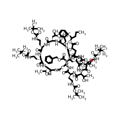 CCCC(C)OC(=O)CCC(=O)N[C@@H](CCNC(=O)OCc1ccccc1)C(=O)N[C@@H](CCNC(=O)OC(C)(C)C)C(=O)N[C@H](C(=O)N[C@@H](CCNC(=O)OC(C)(C)C)C(=O)N[C@H]1CCNC(=O)[C@H](C(C)O)NC(=O)[C@H](CCNC(=O)OC(C)(C)C)NC(=O)[C@H](CCNC(=O)OC(C)(C)C)NC(=O)[C@H](CC(C)C)NC(=O)[C@@H](Cc2ccccc2)NC(=O)[C@H](CCNC(=O)OC(C)(C)C)NC1)C(C)O